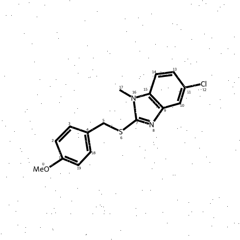 COc1ccc(CSc2nc3cc(Cl)ccc3n2C)cc1